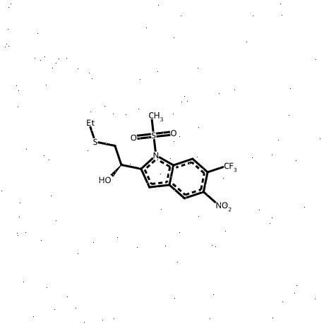 CCSC[C@H](O)c1cc2cc([N+](=O)[O-])c(C(F)(F)F)cc2n1S(C)(=O)=O